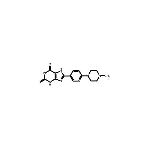 CN1CCN(c2ccc(-c3nc4[nH]c(=O)[nH]c(=O)c4[nH]3)cn2)CC1